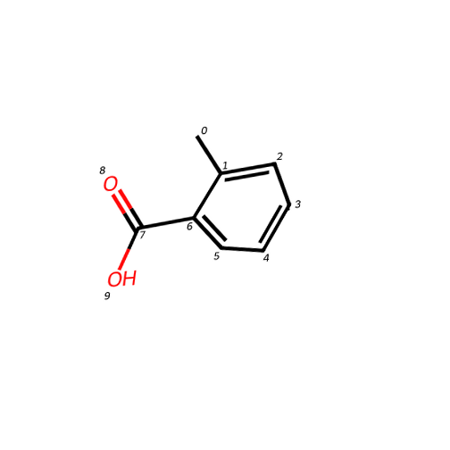 Cc1c[c]ccc1C(=O)O